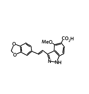 COc1c(C(=O)O)ccc2[nH]nc(C=Cc3ccc4c(c3)OCO4)c12